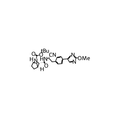 COc1ncc(-c2ccc(C[C@@H](C#N)NC(=O)[C@@H]3[C@H]4CC[C@H](C4)N3C(=O)OC(C)(C)C)cc2)cn1